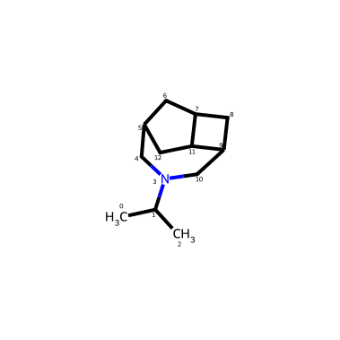 CC(C)N1CC2CC3CC(C1)C3C2